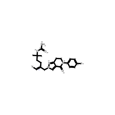 CC(C)(CC/C(=C\F)Cn1cc2c(n1)CCN(c1ccc(F)cc1)C2=O)OC(N)=O